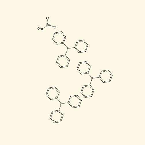 O=[CH][Ru]([Cl])[Cl].c1ccc(P(c2ccccc2)c2ccccc2)cc1.c1ccc(P(c2ccccc2)c2ccccc2)cc1.c1ccc(P(c2ccccc2)c2ccccc2)cc1